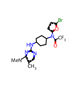 CNc1nc(NC2CCC(N(C(=O)C(F)(F)F)c3ccc(Br)o3)CC2)ncc1C